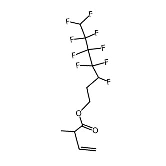 C=CC(C)C(=O)OCCC(F)C(F)(F)C(F)(F)C(F)(F)C(F)F